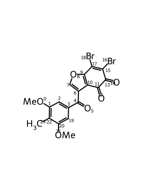 COc1cc(C(=O)c2coc3c2C(=O)C(=O)C(Br)=C3Br)cc(OC)c1C